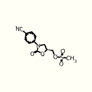 CS(=O)(=O)OC[C@@H]1CN(c2ccc(C#N)cc2)C(=O)O1